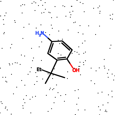 CCC(C)(C)c1cc(N)ccc1O